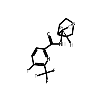 O=C(N[C@H]1CN2CCC1CC2)c1ccc(F)c(C(F)(F)F)n1